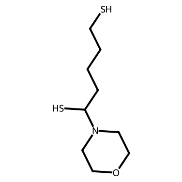 SCCCCC(S)N1CCOCC1